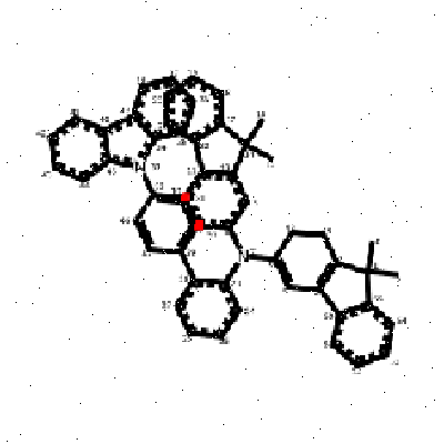 CC1(C)C2=C(C=C(N(c3ccc4c(c3)C(C)(C)c3ccccc3-4)c3ccccc3C3=C=C=C(n4c5ccccc5c5ccccc54)C=C3)CC2)c2ccccc21